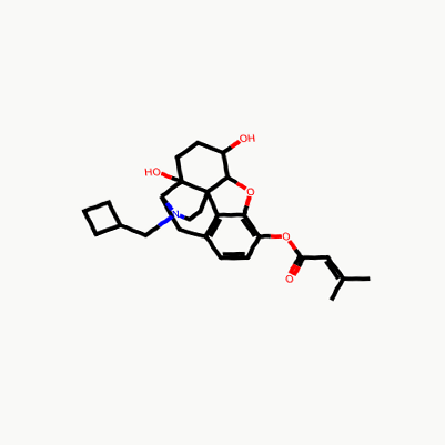 CC(C)=CC(=O)Oc1ccc2c3c1OC1C(O)CCC4(O)C(C2)N(CC2CCC2)CCC314